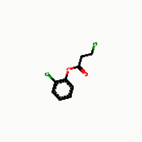 O=C(CCCl)Oc1ccccc1Cl